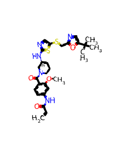 C=CC(=O)Nc1ccc(C(=O)N2CCC[C@@H](Nc3ncc(SCc4ncc(C(C)(C)C)o4)s3)C2)c(OC)c1